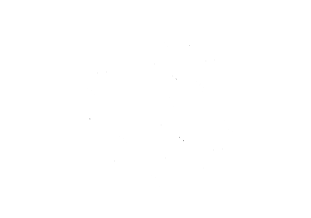 CC1(C)c2ccccc2C(c2cc3c4c(c2)N2c5ccccc5C(C)(C)c5cccc(c52)B4c2cccc4c2N3c2ccccc2C4(C)C)c2ccccc21